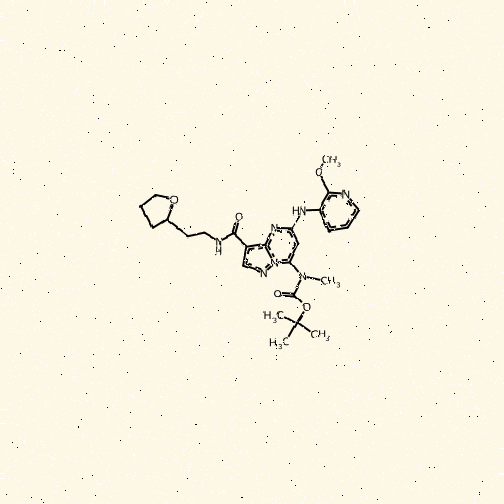 COc1ncccc1Nc1cc(N(C)C(=O)OC(C)(C)C)n2ncc(C(=O)NCCC3CCCO3)c2n1